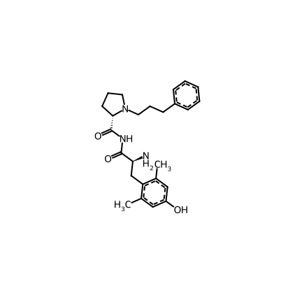 Cc1cc(O)cc(C)c1C[C@H](N)C(=O)NC(=O)[C@@H]1CCCN1CCCc1ccccc1